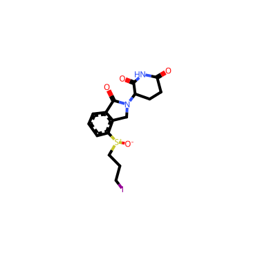 O=C1CCC(N2Cc3c(cccc3[S+]([O-])CCCI)C2=O)C(=O)N1